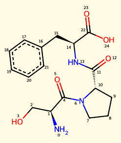 N[C@@H](CO)C(=O)N1CCC[C@H]1C(=O)N[C@@H](Cc1ccccc1)C(=O)O